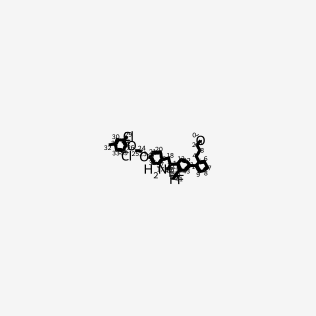 COCCCc1ccccc1-c1ccc(C(CN)Cc2ccc(OCCOc3c(Cl)cc(C)cc3Cl)cc2)c(C(F)(F)F)c1